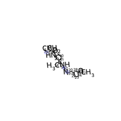 C=C(/C=C\C)C(=O)Nc1cccc(C(C)N/C=C/N=C\CC2=CCCC(OC)=C2)c1